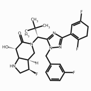 CC(C)(C)[C@H](c1nc(C2=C(F)CCC(F)=C2)nn1Cc1cccc(F)c1)N1C[C@@H]2C(NC[C@@H]2F)[C@H](O)C1=O